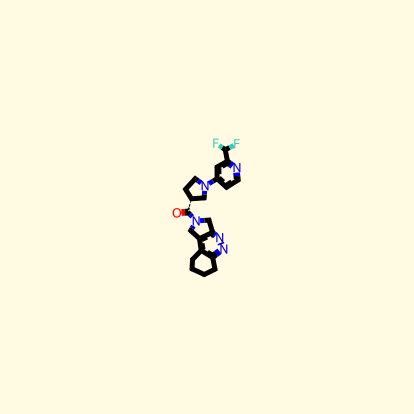 O=C([C@@H]1CCN(c2ccnc(C(F)F)c2)C1)N1Cc2nnc3c(c2C1)CCCC3